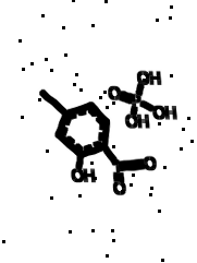 Cc1ccc(I(=O)=O)c(O)c1.O=P(O)(O)O